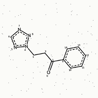 O=C(CCn1ncnn1)c1ccccc1